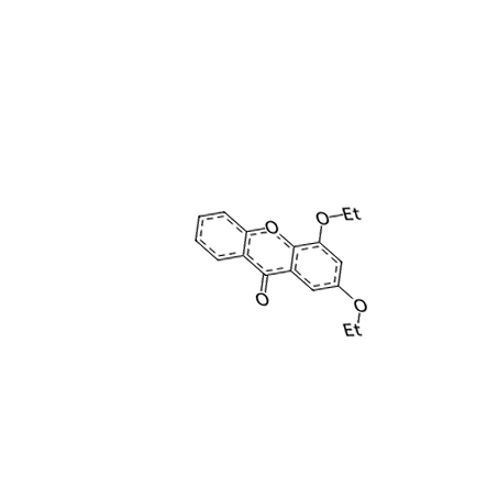 CCOc1cc(OCC)c2oc3ccccc3c(=O)c2c1